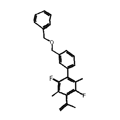 C=C(C)c1c(C)c(F)c(-c2cccc(COCc3ccccc3)c2)c(C)c1F